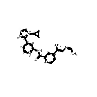 C/C=N\C=C(/C)c1ccnc(C(=O)Nc2cc(-c3nncn3C3CC3)ccn2)c1